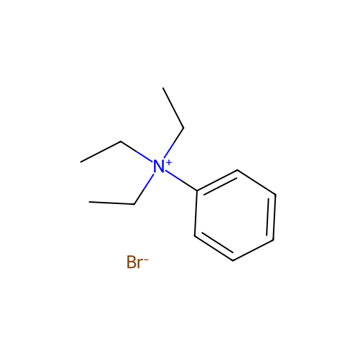 CC[N+](CC)(CC)c1ccccc1.[Br-]